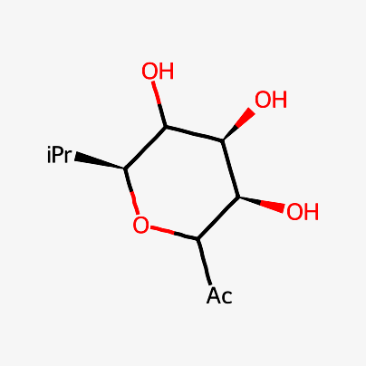 CC(=O)C1O[C@@H](C(C)C)C(O)[C@@H](O)[C@H]1O